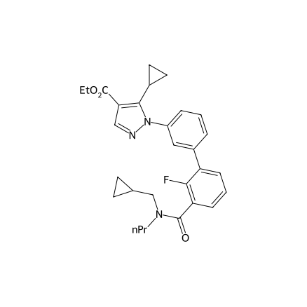 CCCN(CC1CC1)C(=O)c1cccc(-c2cccc(-n3ncc(C(=O)OCC)c3C3CC3)c2)c1F